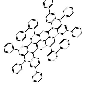 c1ccc(-c2ccc3c(c2)N(c2ccccc2)c2cc(-c4ccccc4)cc4c2B3c2cc3c(-c5ccccc5-c5ccccc5)cc5c6c(cc7c(-c8ccccc8-c8ccccc8)cc-4c2c7c36)B2c3ccc(-c4ccccc4)cc3N(c3ccccc3)c3cc(-c4ccccc4)cc-5c32)cc1